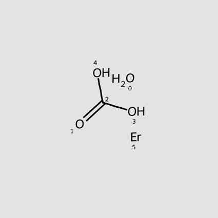 O.O=C(O)O.[Er]